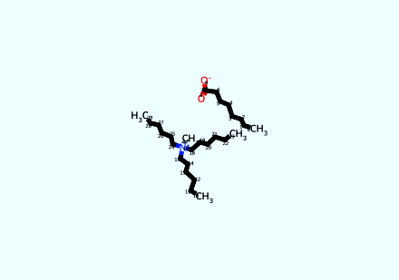 CCCCCCCC(=O)[O-].CCCCCC[N+](C)(CCCCCC)CCCCCC